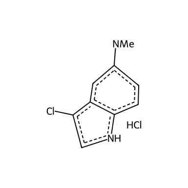 CNc1ccc2[nH]cc(Cl)c2c1.Cl